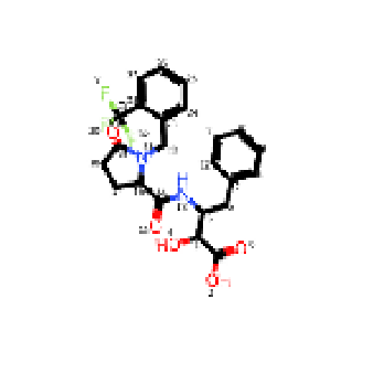 O=C(O)C(O)C(Cc1ccccc1)NC(=O)C1CCC(=O)N1Cc1ccccc1C(F)(F)F